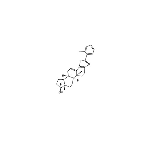 Cc1ccccc1-c1nc2c(s1)C1=CC[C@H]3[C@@H]4CC[C@H](O)[C@@]4(C)CC[C@@H]3[C@@]1(C)CC2